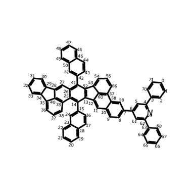 c1ccc(-c2cc(-c3ccc4cc5c6c(-c7ccc8ccccc8c7)c7c(cc8c9ccccc9c9cccc7c98)c(-c7ccc8ccccc8c7)c6c6cccc(c4c3)c65)cc(-c3ccccc3)n2)cc1